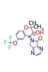 CC1(C)Oc2ccc(OC(F)(F)F)cc2[C@@H](N2Cc3nccnc3C2=O)[C@@H]1O